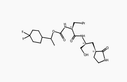 CC(C)C[C@H](NC(=O)OC(C)C1CCC(F)(F)CC1)C(=O)N[C@H](CO)C[C@@H]1CCNC1=O